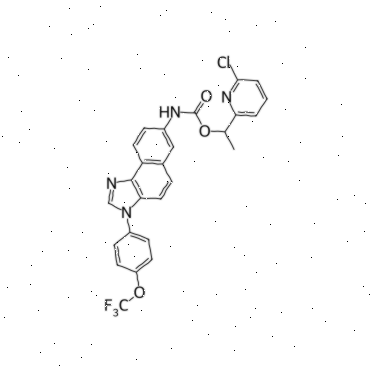 CC(OC(=O)Nc1ccc2c(ccc3c2ncn3-c2ccc(OC(F)(F)F)cc2)c1)c1cccc(Cl)n1